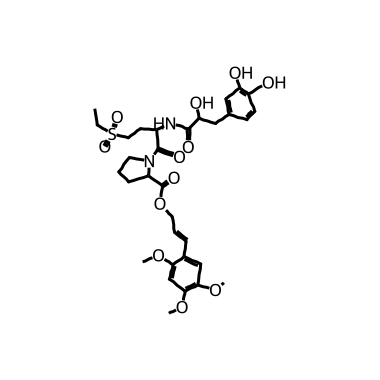 CCS(=O)(=O)CCC(NC(=O)C(O)Cc1ccc(O)c(O)c1)C(=O)N1CCCC1C(=O)OC/C=C/c1cc(OC)c(OC)cc1OC